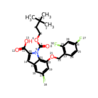 CC(C)(C)CCOC(=O)n1c(C(=O)O)cc2cc(F)cc(OCc3ccc(F)cc3F)c21